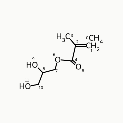 C.C=C(C)C(=O)OCC(O)CO